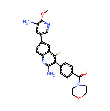 COc1ncc(-c2ccc3nc(N)c(-c4ccc(C(=O)N5CCOCC5)cc4)c(F)c3c2)cc1N